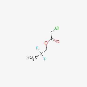 O=C(CCl)OCC(F)(F)S(=O)(=O)O